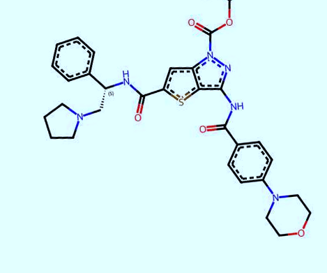 CC(C)OC(=O)n1nc(NC(=O)c2ccc(N3CCOCC3)cc2)c2sc(C(=O)N[C@H](CN3CCCC3)c3ccccc3)cc21